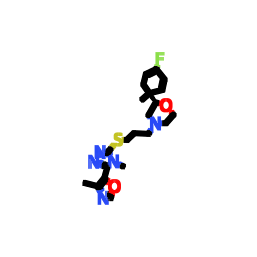 Cc1ncoc1-c1nnc(SCCCN2CCO[C@H](C3(C)C=CC(F)=CC3)C2)n1C